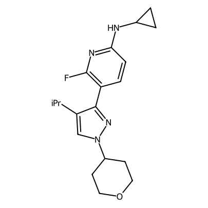 CC(C)c1cn(C2CCOCC2)nc1-c1ccc(NC2CC2)nc1F